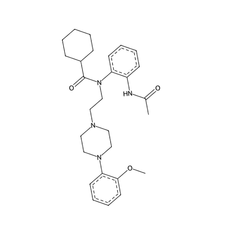 COc1ccccc1N1CCN(CCN(C(=O)C2CCCCC2)c2ccccc2NC(C)=O)CC1